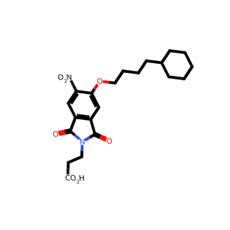 O=C(O)CCN1C(=O)c2cc(OCCCCC3CCCCC3)c([N+](=O)[O-])cc2C1=O